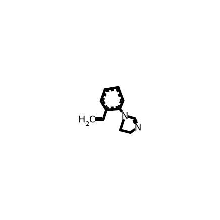 C=Cc1ccccc1N1C=NCC1